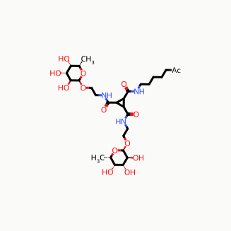 CC(=O)CCCCCNC(=O)C1C(C(=O)NCCO[C@@H]2O[C@@H](C)[C@@H](O)[C@@H](O)[C@@H]2O)C1C(=O)NCCO[C@@H]1O[C@@H](C)[C@@H](O)[C@@H](O)[C@@H]1O